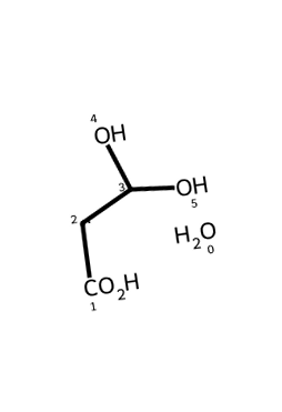 O.O=C(O)[CH]C(O)O